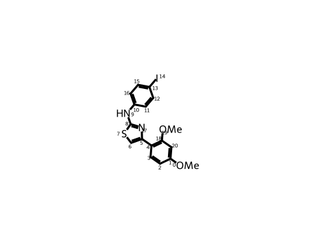 COc1ccc(-c2csc(Nc3ccc(I)cc3)n2)c(OC)c1